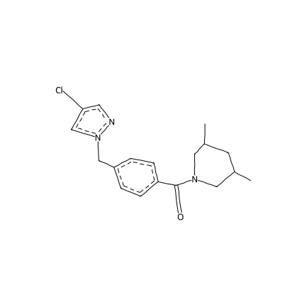 CC1CC(C)CN(C(=O)c2ccc(Cn3cc(Cl)cn3)cc2)C1